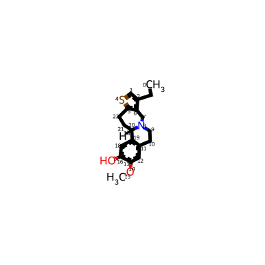 CCc1csc2c1CN1CCc3cc(OC)c(O)cc3[C@@H]1CC2